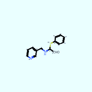 O=CC(NCc1cccnc1)Sc1cc[c]cc1